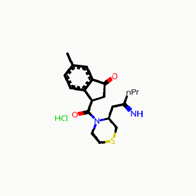 CCCC(=N)CC1CSCCN1C(=O)C1CC(=O)c2cc(C)ccc21.Cl